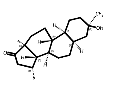 C[C@@H]1CC(=O)[C@@]2(C)CC[C@H]3[C@@H](CC[C@@H]4C[C@@](O)(C(F)(F)F)CC[C@@H]43)[C@H]12